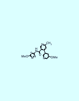 COc1cncc(-c2cc(C)ncc2C(=O)Nc2nnc(OC)s2)c1